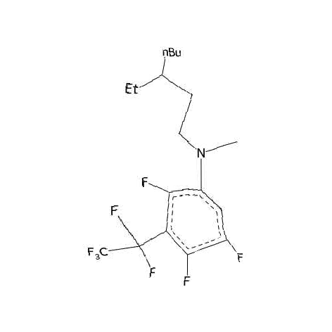 CCCCC(CC)CCN(C)c1cc(F)c(F)c(C(F)(F)C(F)(F)F)c1F